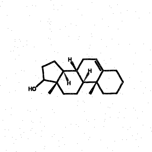 C[C@]12CCCCC1=CC[C@@H]1[C@@H]2CC[C@]2(C)C(O)CC[C@@H]12